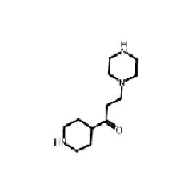 O=C(CCN1CCNCC1)C1CCNCC1